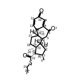 C[C@@H]1C[C@H]2[C@@H]3CC(=O)C4=CC(=O)C=C[C@]4(C)[C@H]3CC[C@]2(C)[C@H]1C(=O)SCF